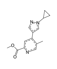 COC(=O)c1cc(-c2cnn(C3CC3)c2)c(C)cn1